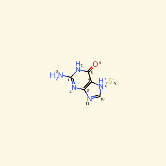 Nc1nc2c(c(=O)[nH]1)[NH+]([S-])C=N2